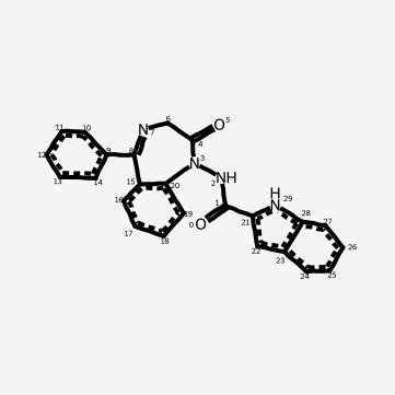 O=C(NN1C(=O)CN=C(c2ccccc2)c2ccccc21)c1cc2ccccc2[nH]1